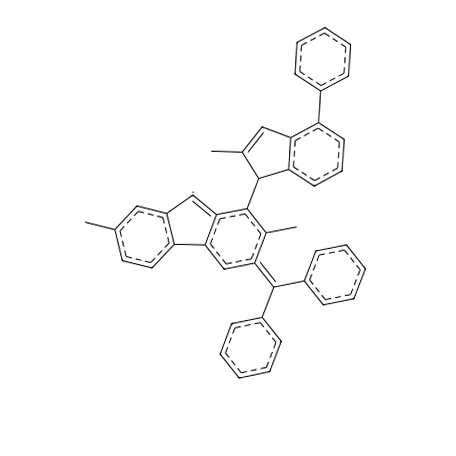 CC1=Cc2c(-c3ccccc3)cccc2C1c1c(C)c(=C(c2ccccc2)c2ccccc2)cc2c1=[C]c1cc(C)ccc1-2